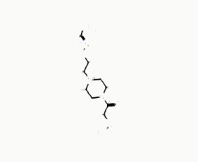 C/C=N/OCCN1CCN(C(=O)COC)CC1